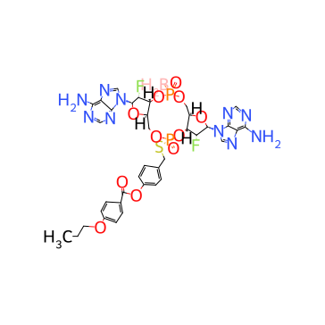 B[P@@]1(=O)OC[C@H]2O[C@@H](n3cnc4c(N)ncnc43)[C@H](F)[C@@H]2O[P@](=O)(SCc2ccc(OC(=O)c3ccc(OCCC)cc3)cc2)OC[C@H]2O[C@@H](n3cnc4c(N)ncnc43)[C@H](F)[C@@H]2O1